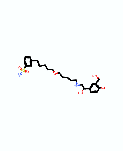 NS(=O)(=O)c1cccc(CCCCCOCCCCCNC[C@H](O)c2ccc(O)c(CO)c2)c1